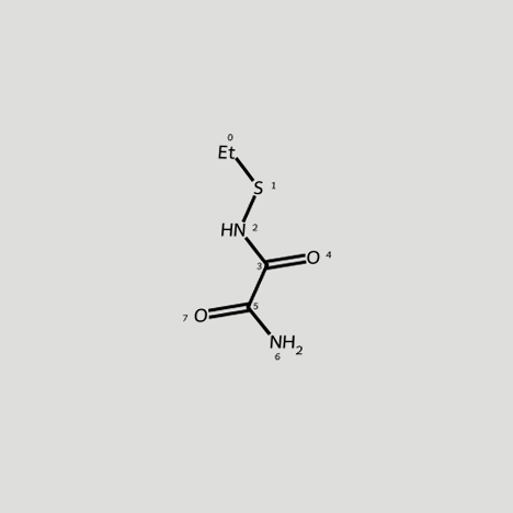 CCSNC(=O)C(N)=O